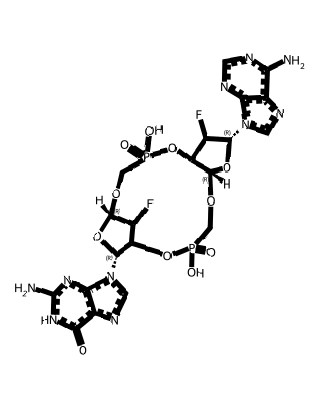 Nc1nc2c(ncn2[C@@H]2O[C@@H]3OCP(=O)(O)OC4C(F)[C@H](n5cnc6c(N)ncnc65)O[C@@H]4OCP(=O)(O)OC2C3F)c(=O)[nH]1